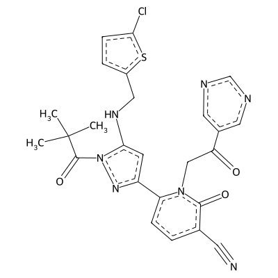 CC(C)(C)C(=O)n1nc(-c2ccc(C#N)c(=O)n2CC(=O)c2cncnc2)cc1NCc1ccc(Cl)s1